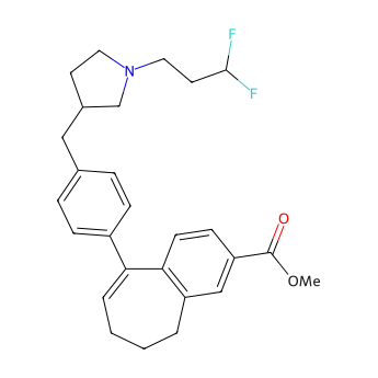 COC(=O)c1ccc2c(c1)CCCC=C2c1ccc(CC2CCN(CCC(F)F)C2)cc1